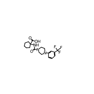 O=C(NC1(C(=O)O)CCCCC1)N1CCN(c2cccc(C(F)(F)F)c2)CC1